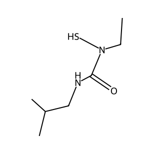 CCN(S)C(=O)NCC(C)C